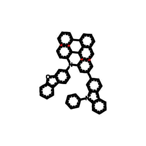 c1ccc(-c2cccc3cccc(-c4ccccc4N(c4cccc(-c5ccc6c7ccccc7n(-c7ccccc7)c6c5)c4)c4ccc5c(c4)oc4ccccc45)c23)cc1